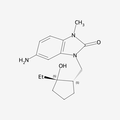 CC[C@]1(O)CCC[C@H]1Cn1c(=O)n(C)c2ccc(N)cc21